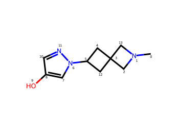 CN1CC2(CC(n3cc(O)cn3)C2)C1